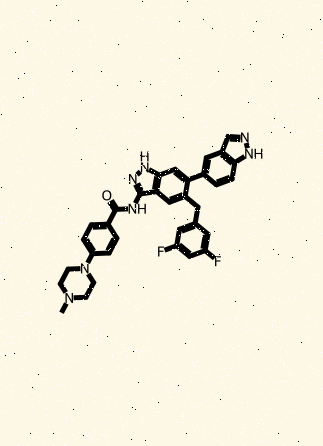 CN1CCN(c2ccc(C(=O)Nc3n[nH]c4cc(-c5ccc6[nH]ncc6c5)c(Cc5cc(F)cc(F)c5)cc34)cc2)CC1